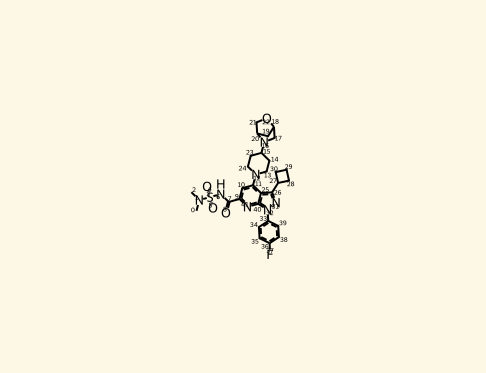 CN(C)S(=O)(=O)NC(=O)c1cc(N2CCC(N3CC4CC3CO4)CC2)c2c(C3CCC3)nn(-c3ccc(F)cc3)c2n1